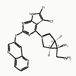 CCc1[nH]c2nc(Sc3cnc4cccnc4c3)nc(N3C[C@@H]4[C@H](C3)[C@@]4(N)CN)c2c1Cl